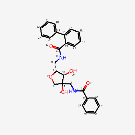 O=C(NC[C@]1(O)CO[C@H](CNC(=O)c2ccccc2-c2ccccc2)[C@H]1O)c1ccccc1